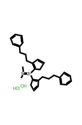 C[Si](C)=[Zr]([C]1=C(CCCc2ccccc2)C=CC1)[C]1=C(CCCc2ccccc2)C=CC1.Cl.Cl